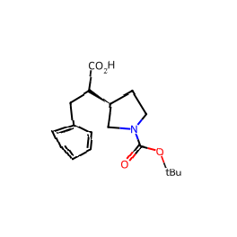 CC(C)(C)OC(=O)N1CC[C@H](C(Cc2ccccc2)C(=O)O)C1